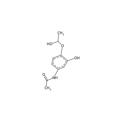 CC(=O)Nc1ccc(OC(C)O)c(O)c1